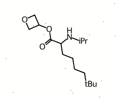 CC(C)NC(CCCCC(C)(C)C)C(=O)OC1COC1